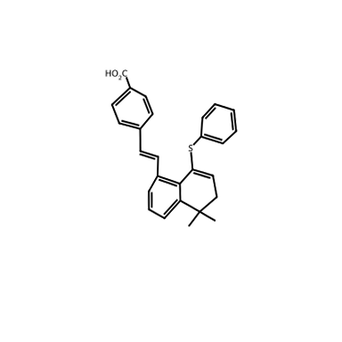 CC1(C)CC=C(Sc2ccccc2)c2c(C=Cc3ccc(C(=O)O)cc3)cccc21